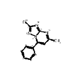 Cc1cc(-c2ccccc2)n2nc(Cl)nc2n1